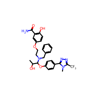 CC(O)C(Oc1ccc(-c2nnc(C(F)(F)F)n2C)cc1)N(CCOc1ccc(O)c(C(N)=O)c1)Cc1ccccc1